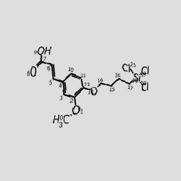 COc1cc(/C=C/C(=O)O)ccc1OCCCC[Si](Cl)(Cl)Cl